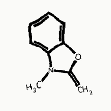 C=C1Oc2ccccc2N1C